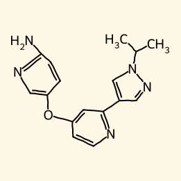 CC(C)n1cc(-c2cc(Oc3ccc(N)nc3)ccn2)cn1